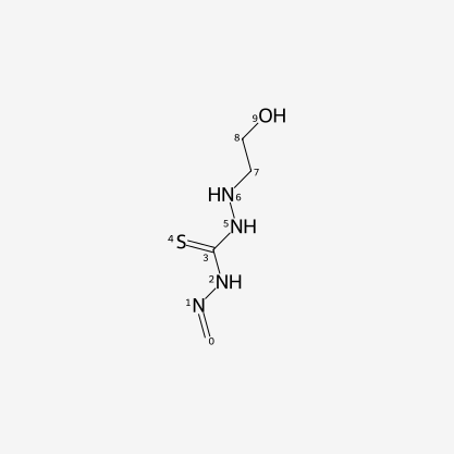 C=NNC(=S)NNCCO